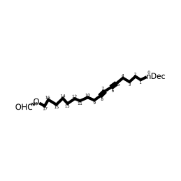 CCCCCCCCCCCCCCC#CC#CCCCCCCCCCOC=O